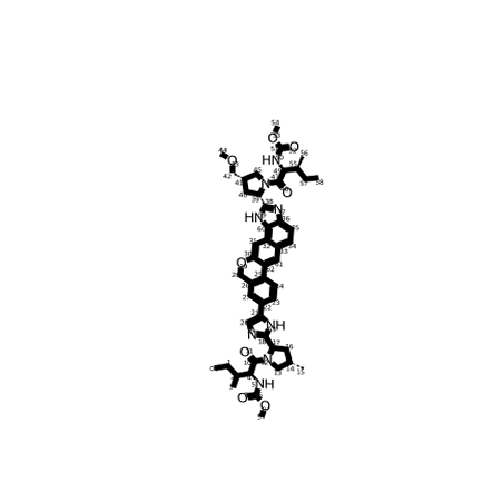 CCC(C)[C@H](NC(=O)OC)C(=O)N1C[C@@H](C)CC1c1ncc(-c2ccc3c(c2)COc2cc4c(ccc5nc([C@@H]6C[C@H](COC)CN6C(=O)[C@@H](NC(=O)OC)[C@@H](C)CC)[nH]c54)cc2-3)[nH]1